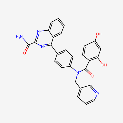 NC(=O)c1nc(-c2ccc(N(Cc3cccnc3)C(=O)c3ccc(O)cc3O)cc2)c2ccccc2n1